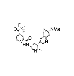 CNc1cc2ncc(-c3cc(NC(=O)c4cc(C(=O)C(C)(F)F)ccn4)cnc3C)cc2cn1